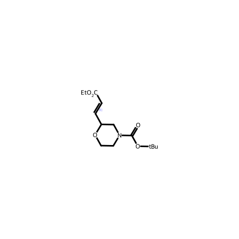 CCOC(=O)/C=C/C1CN(C(=O)OC(C)(C)C)CCO1